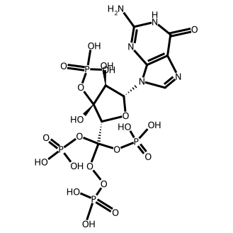 Nc1nc2c(ncn2[C@@H]2O[C@H](C(OOP(=O)(O)O)(OP(=O)(O)O)OP(=O)(O)O)[C@](O)(OP(=O)(O)O)[C@H]2O)c(=O)[nH]1